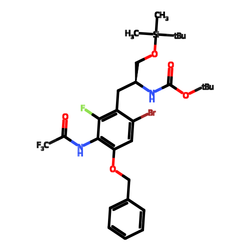 CC(C)(C)OC(=O)N[C@H](CO[Si](C)(C)C(C)(C)C)Cc1c(Br)cc(OCc2ccccc2)c(NC(=O)C(F)(F)F)c1F